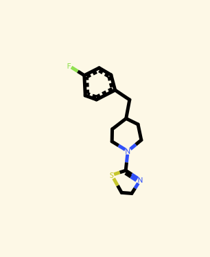 Fc1ccc(CC2CCN(C3=NCCS3)CC2)cc1